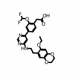 CCOc1cc2c(cc1CCNc1cc(-c3ccc(CC(=O)O)c(OC(F)F)c3)ncn1)OCCO2